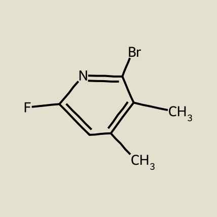 Cc1cc(F)nc(Br)c1C